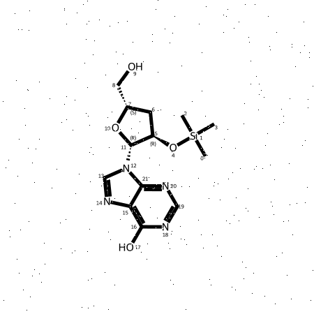 C[Si](C)(C)O[C@@H]1C[C@@H](CO)O[C@H]1n1cnc2c(O)ncnc21